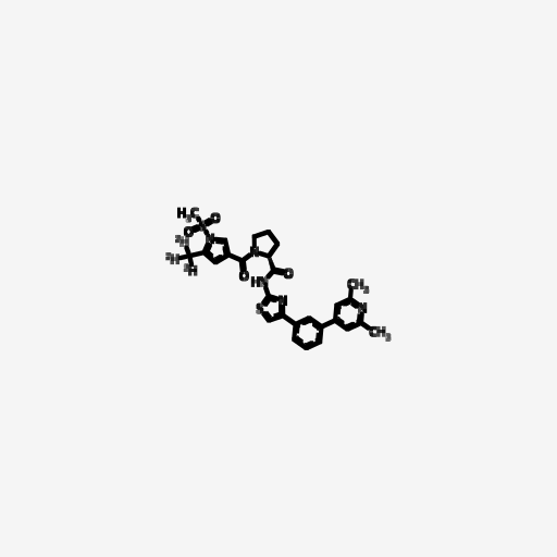 [2H]C([2H])([2H])c1cc(C(=O)N2CCC[C@H]2C(=O)Nc2nc(-c3cccc(-c4cc(C)nc(C)c4)c3)cs2)cn1S(C)(=O)=O